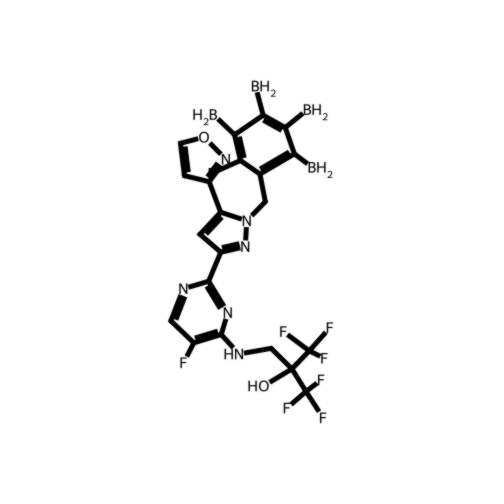 Bc1c(B)c(B)c(Cn2nc(-c3ncc(F)c(NCC(O)(C(F)(F)F)C(F)(F)F)n3)cc2-c2ccon2)c(F)c1B